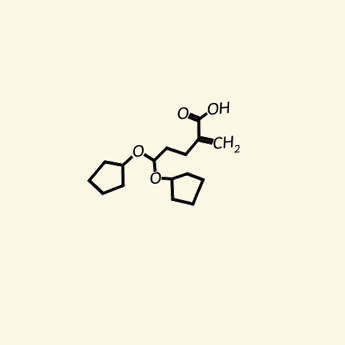 C=C(CCC(OC1CCCC1)OC1CCCC1)C(=O)O